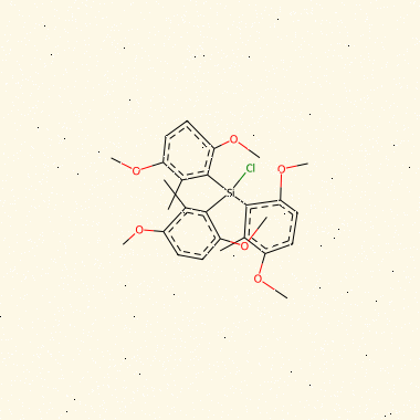 COc1ccc(OC)c([Si](Cl)(c2c(OC)ccc(OC)c2C)c2c(OC)ccc(OC)c2C)c1C